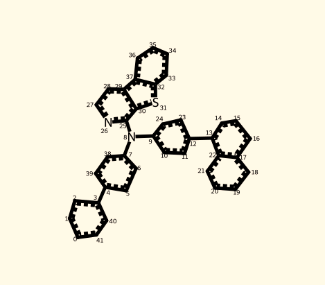 c1ccc(-c2ccc(N(c3ccc(-c4cccc5ccccc45)cc3)c3nccc4c3sc3ccccc34)cc2)cc1